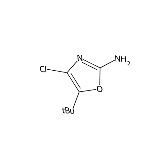 CC(C)(C)c1oc(N)nc1Cl